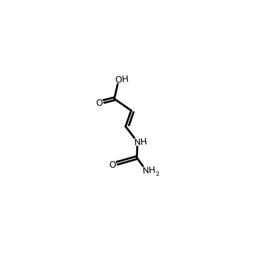 NC(=O)N/C=C/C(=O)O